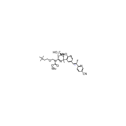 COc1ncc(/C=C(\F)c2ccc(C#N)cn2)cc1C1(C)N=C(N(COCC[Si](C)(C)C)C(=O)OC(C)(C)C)SC2(C(=O)O)CC21